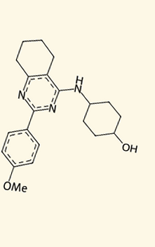 COc1ccc(-c2nc3c(c(NC4CCC(O)CC4)n2)CCCC3)cc1